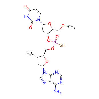 COC[C@H]1O[C@@H](n2ccc(=O)[nH]c2=O)C[C@@H]1OP(=O)(S)OC[C@H]1O[C@@H](n2cnc3c(N)ncnc32)C[C@@H]1C